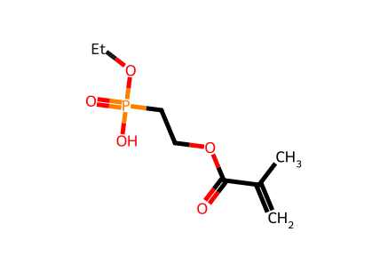 C=C(C)C(=O)OCCP(=O)(O)OCC